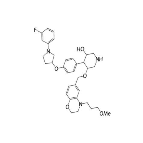 COCCCN1CCOc2ccc(COC3CNCC(O)C3c3ccc(OC4CCN(c5cccc(F)c5)C4)cc3)cc21